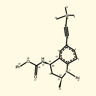 CC(=O)N1c2ccc(C#C[Si](C)(C)C)cc2[C@H](NC(=O)OC(C)C)C[C@@H]1C